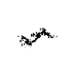 CCCNc1nc(Nc2cnc(NCCOC)c(C=N)c2)ncc1C#CCCCNC(=O)[C@H](C)N(C)C(=O)/C=C/CN(C)C